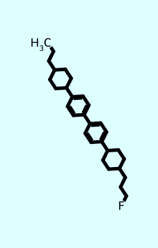 CCCC1CCC(c2ccc(-c3ccc(C4CCC(CCCF)CC4)cc3)cc2)CC1